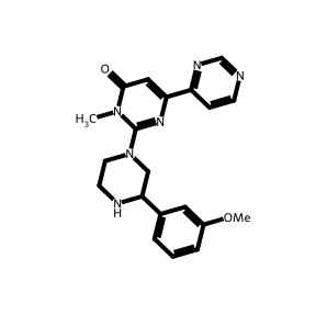 COc1cccc(C2CN(c3nc(-c4ccncn4)cc(=O)n3C)CCN2)c1